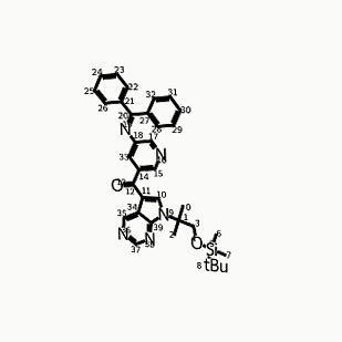 CC(C)(CO[Si](C)(C)C(C)(C)C)n1cc(C(=O)c2cncc(N=C(c3ccccc3)c3ccccc3)c2)c2cncnc21